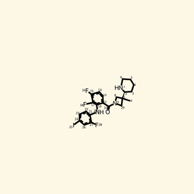 CC1([C@@H]2CCCCN2)CN(C(=O)c2ccc(F)c(F)c2Nc2ccc(I)cc2F)C1